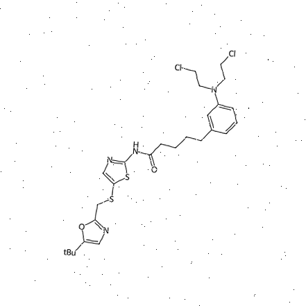 CC(C)(C)c1cnc(CSc2cnc(NC(=O)CCCCc3cccc(N(CCCl)CCCl)c3)s2)o1